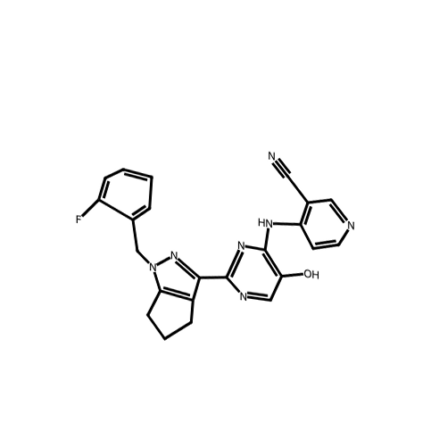 N#Cc1cnccc1Nc1nc(-c2nn(Cc3ccccc3F)c3c2CCC3)ncc1O